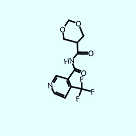 O=C(NC(=O)C1COCOC1)c1cnccc1C(F)(F)F